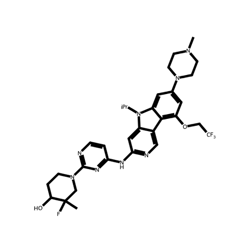 CC(C)n1c2cc(Nc3ccnc(N4CCC(O)C(C)(F)C4)n3)ncc2c2c(OCC(F)(F)F)cc(N3CCN(C)CC3)cc21